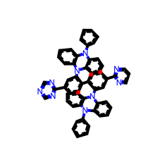 c1ccc(N2c3ccccc3N(c3cc(-c4ncccn4)ccc3-c3ccc(-c4ncncn4)cc3N3c4ccccc4N(c4ccccc4)c4ccccc43)c3ccccc32)cc1